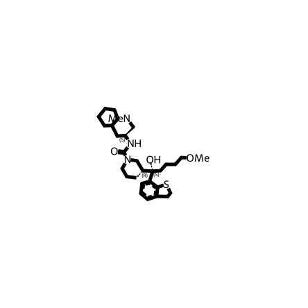 CNC[C@H](CC1CCCCC1)NC(=O)N1CCC[C@@H]([C@@](O)(CCCCOC)c2cccc3c2SCC3)C1